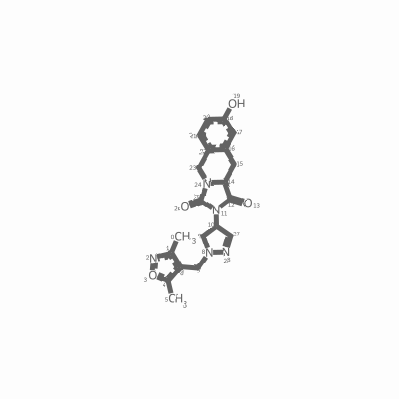 Cc1noc(C)c1CN1CC(N2C(=O)C3Cc4cc(O)ccc4CN3C2=O)C=N1